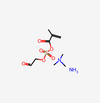 C=C(C)C(=O)OS(=O)(=O)OCC=O.CN(C)C.N